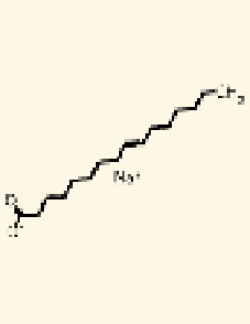 CCCCCC/C=C/CCCCCCCC(=O)[O-].[Na+]